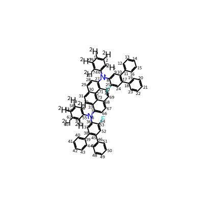 [2H]c1c([2H])c([2H])c(N(c2cc(-c3ccccc3)c(-c3ccccc3)cc2F)c2ccc3ccc4c(N(c5cc(-c6ccccc6)c(-c6ccccc6)cc5F)c5c([2H])c([2H])c([2H])c([2H])c5[2H])ccc5ccc2c3c54)c([2H])c1[2H]